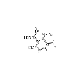 CCc1cnc(Cl)c(C(N)=O)c1CC